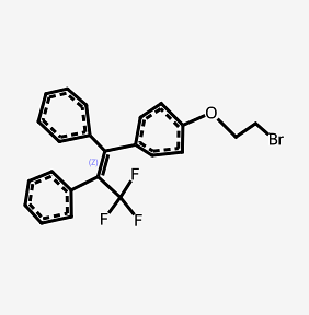 FC(F)(F)/C(=C(/c1ccccc1)c1ccc(OCCBr)cc1)c1ccccc1